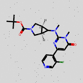 CN(c1nc(-c2ccncc2F)cc(=O)n1C)C1[C@H]2CN(C(=O)OC(C)(C)C)C[C@@H]12